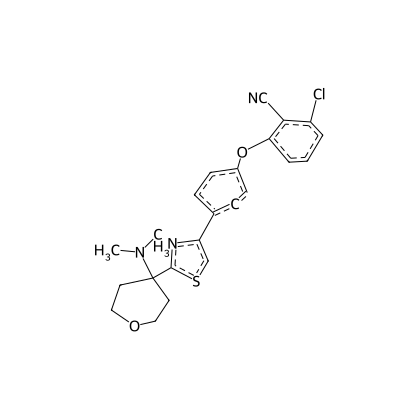 CN(C)C1(c2nc(-c3ccc(Oc4cccc(Cl)c4C#N)cc3)cs2)CCOCC1